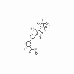 Cn1nc(OS(=O)(=O)C(F)(C(F)(F)F)C(F)(F)F)c(C(F)(F)F)c1-n1cc(-c2cnc(Cl)c(C(=O)NC3CC3)c2)cn1